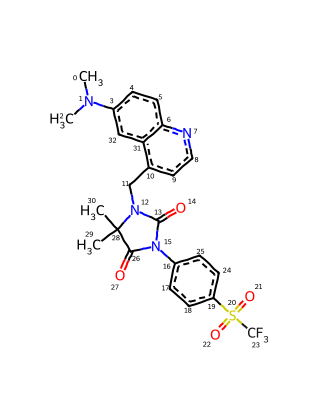 CN(C)c1ccc2nccc(CN3C(=O)N(c4ccc(S(=O)(=O)C(F)(F)F)cc4)C(=O)C3(C)C)c2c1